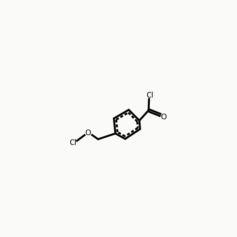 O=C(Cl)c1ccc(COCl)cc1